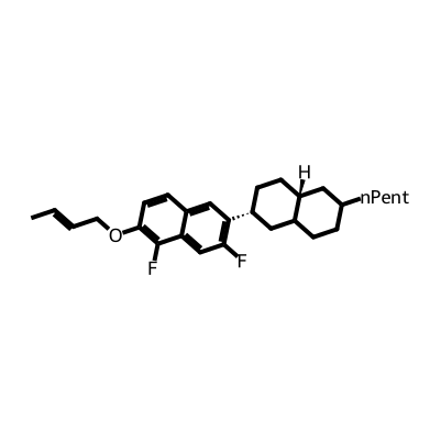 C/C=C/COc1ccc2cc([C@@H]3CC[C@@H]4CC(CCCCC)CCC4C3)c(F)cc2c1F